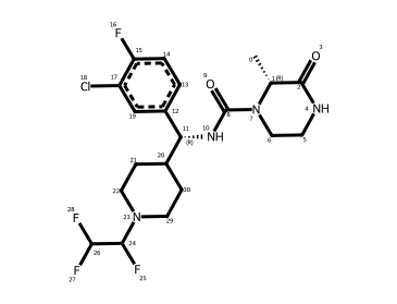 C[C@@H]1C(=O)NCCN1C(=O)N[C@@H](c1ccc(F)c(Cl)c1)C1CCN(C(F)C(F)F)CC1